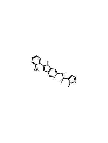 Cn1nccc1C(=O)Nc1cc2[nH]c(-c3ccccc3C(F)(F)F)cc2cn1